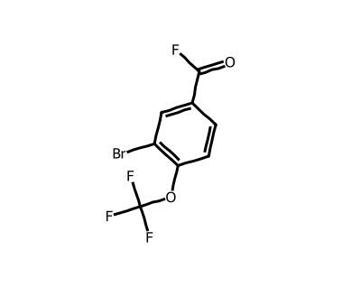 O=C(F)c1ccc(OC(F)(F)F)c(Br)c1